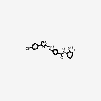 Nc1ccccc1NC(=O)c1ccc(CNc2nc(-c3ccc(Cl)cc3)cs2)cc1